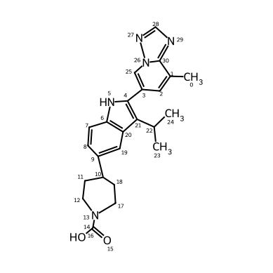 Cc1cc(-c2[nH]c3ccc(C4CCN(C(=O)O)CC4)cc3c2C(C)C)cn2ncnc12